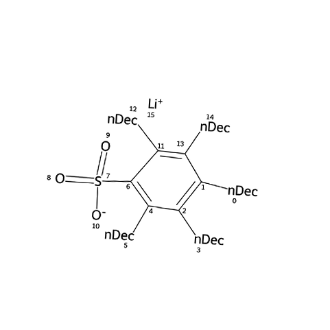 CCCCCCCCCCc1c(CCCCCCCCCC)c(CCCCCCCCCC)c(S(=O)(=O)[O-])c(CCCCCCCCCC)c1CCCCCCCCCC.[Li+]